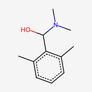 Cc1cccc(C)c1C(O)N(C)C